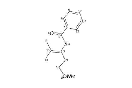 COCCC(SC(=O)c1ccccc1)=C(C)C